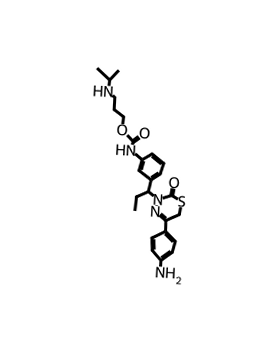 CCC(c1cccc(NC(=O)OCCCNC(C)C)c1)N1N=C(c2ccc(N)cc2)CSC1=O